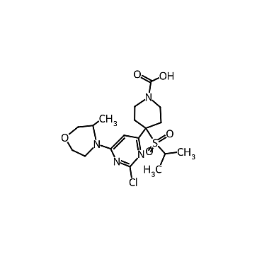 CC1COCCN1c1cc(C2(S(=O)(=O)C(C)C)CCN(C(=O)O)CC2)nc(Cl)n1